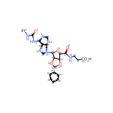 CCNC(=O)Nc1ncnc2c1ncn2C1OC(C(=O)NCCC(=O)O)C2O[C@H](c3ccccc3)OC21